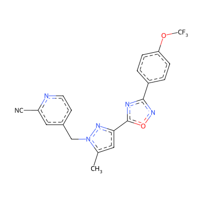 Cc1cc(-c2nc(-c3ccc(OC(F)(F)F)cc3)no2)nn1Cc1ccnc(C#N)c1